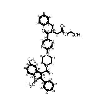 CCOC(=O)CN(Cc1ccccc1)C(=O)c1cnc(N2CCN(C(=O)c3c(-c4ccccc4)n(C)c4ccc(C)cc34)CC2)cn1